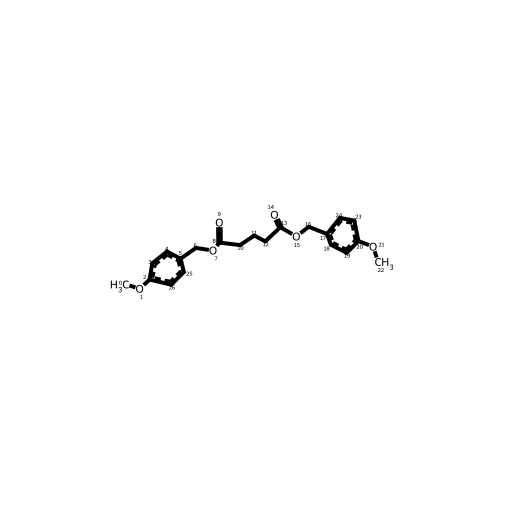 COc1ccc(COC(=O)CCCC(=O)OCc2ccc(OC)cc2)cc1